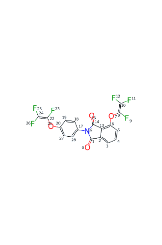 O=C1c2cccc(OC(F)=C(F)F)c2C(=O)N1c1ccc(OC(F)=C(F)F)cc1